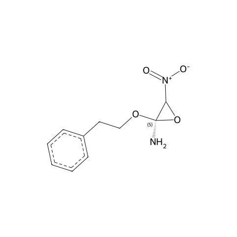 N[C@@]1(OCCc2ccccc2)OC1[N+](=O)[O-]